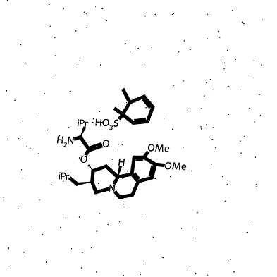 CC1C=CC=CC1(C)S(=O)(=O)O.COc1cc2c(cc1OC)[C@H]1C[C@@H](OC(=O)[C@@H](N)C(C)C)[C@H](CC(C)C)CN1CC2